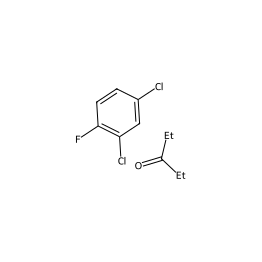 CCC(=O)CC.Fc1ccc(Cl)cc1Cl